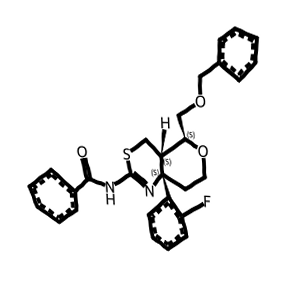 O=C(NC1=N[C@@]2(c3ccccc3F)CCO[C@H](COCc3ccccc3)[C@H]2CS1)c1ccccc1